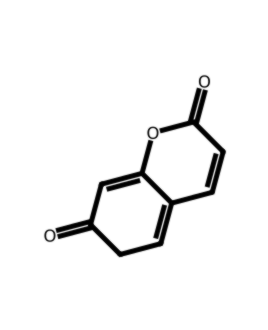 O=C1C=c2oc(=O)ccc2=CC1